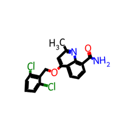 Cc1cc(OCc2c(Cl)cccc2Cl)c2cccc(C(N)=O)c2n1